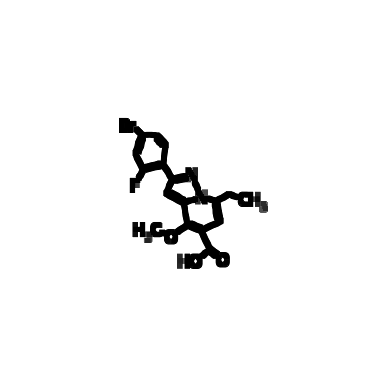 CCc1cc(C(=O)O)c(OC)c2cc(-c3ccc(Br)cc3F)nn12